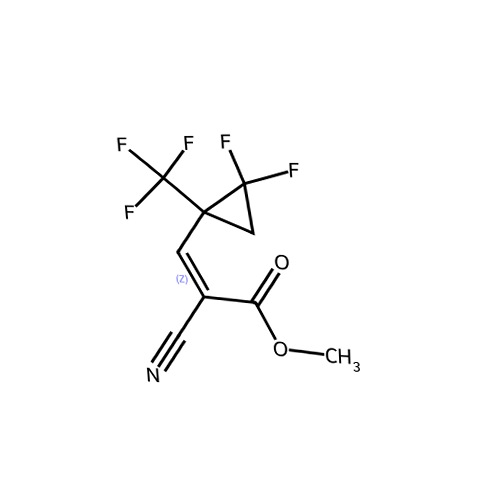 COC(=O)/C(C#N)=C\C1(C(F)(F)F)CC1(F)F